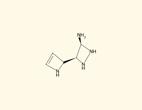 N[C@H]1NN[C@H]1C1C=CN1